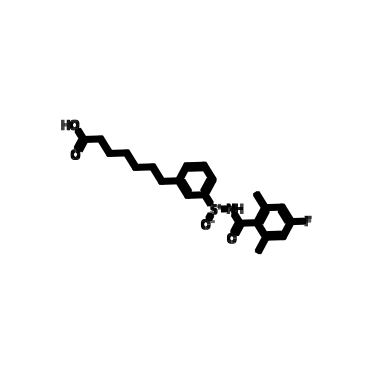 Cc1cc(F)cc(C)c1C(=O)N[S+]([O-])c1cccc(CCCCCCC(=O)O)c1